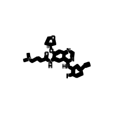 C#Cc1ccc(F)c(Nc2ncnc3cc(O[C@H]4CCOC4)c(NC(=O)C=CCN(C)C)cc23)c1